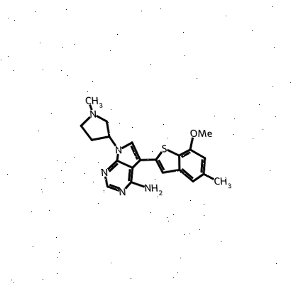 COc1cc(C)cc2cc(-c3cn(C4CCN(C)C4)c4ncnc(N)c34)sc12